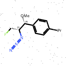 CO[C@H](c1ccc(C(C)C)cc1)[C@@H](CF)N=[N+]=[N-]